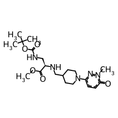 COC(=O)[C@@H](CNC(=O)OC(C)(C)C)NCC1CCN(c2ccc(=O)n(C)n2)CC1